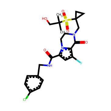 CC(C)(CO)S(=O)(=O)C1(CN2CCn3c(C(=O)NCc4ccc(Cl)cc4)cc(F)c3C2=O)CC1